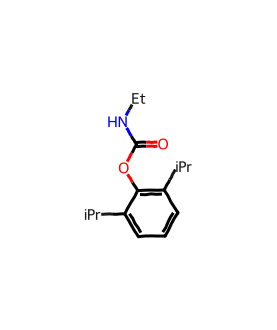 [CH2]CNC(=O)Oc1c(C(C)C)cccc1C(C)C